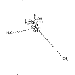 CCCCCCCCCCCCCCCCCCCCCCCCCC(=O)N[C@@H](CO[C@H]1O[C@H](CC(C)(C)C)[C@H](O)[C@H](O)[C@H]1S)[C@H](O)[C@H](O)CCCCCCCCCCCCCC